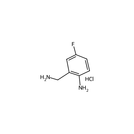 Cl.NCc1cc(F)ccc1N